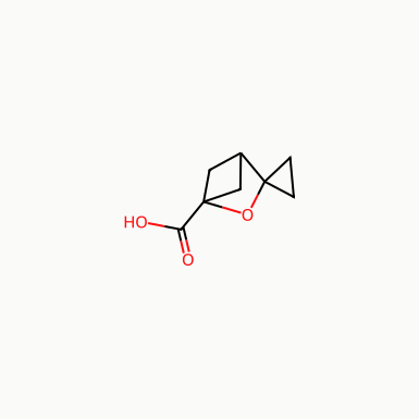 O=C(O)C12CC(C1)C1(CC1)O2